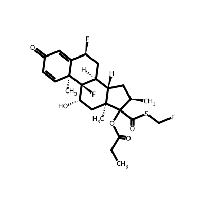 CCC(=O)OC1(C(=O)SCF)[C@H](C)C[C@H]2[C@@H]3C[C@H](F)C4=CC(=O)C=C[C@]4(C)[C@@]3(F)[C@@H](O)C[C@@]21C